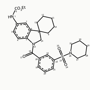 CCOC(=O)Nc1ccc2c(c1)C1(CCCCC1)CN2C(=O)c1cccc(S(=O)(=O)N2CCCCC2)c1